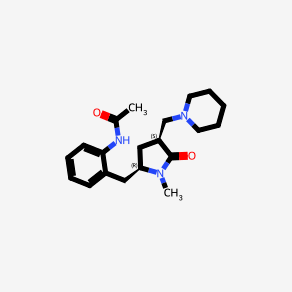 CC(=O)Nc1ccccc1C[C@H]1C[C@@H](CN2CCCCC2)C(=O)N1C